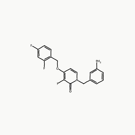 O=c1c(I)c(OCc2ccc(F)cc2F)ccn1Cc1cccc(P)c1